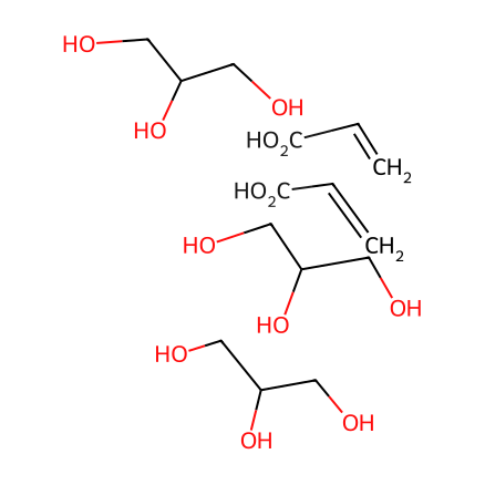 C=CC(=O)O.C=CC(=O)O.OCC(O)CO.OCC(O)CO.OCC(O)CO